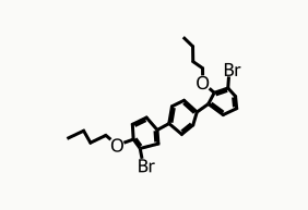 CCCCOc1ccc(-c2ccc(-c3cccc(Br)c3OCCCC)cc2)cc1Br